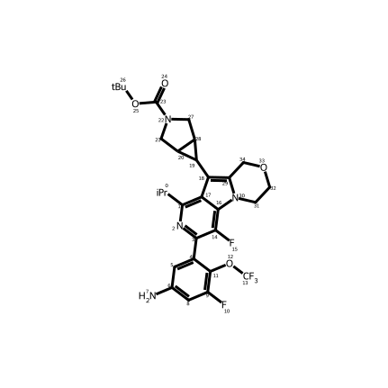 CC(C)c1nc(-c2cc(N)cc(F)c2OC(F)(F)F)c(F)c2c1c(C1C3CN(C(=O)OC(C)(C)C)CC31)c1n2CCOC1